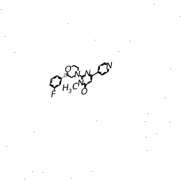 Cn1c(N2CCO[C@@H](c3cccc(F)c3)C2)nc(-c2ccncc2)cc1=O